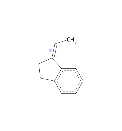 C/C=C1/CCc2ccccc21